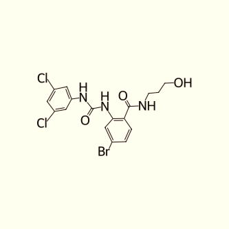 O=C(Nc1cc(Cl)cc(Cl)c1)Nc1cc(Br)ccc1C(=O)NCCCO